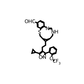 O=Cc1ccc2c(c1)SCC1CC(CN/C=N/2)C1CCc1c(-c2ccccc2OC(F)(F)F)noc1C1CC1